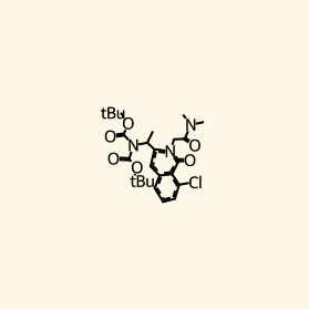 CC(c1cc2cccc(Cl)c2c(=O)n1CC(=O)N(C)C)N(C(=O)OC(C)(C)C)C(=O)OC(C)(C)C